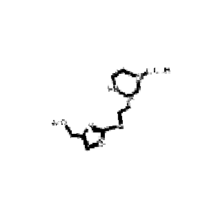 CC(=O)OCc1csc(SCC[C@@H]2CN(C(=O)O)CCN2)n1